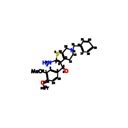 COc1cc(C(=O)c2c(N)sc3c2CCN(Cc2ccccc2)C3)ccc1OC(C)C